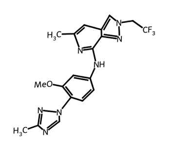 COc1cc(Nc2nc(C)cc3cn(CC(F)(F)F)nc23)ccc1-n1cnc(C)n1